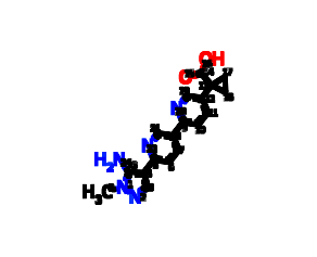 Cn1ncc(-c2ccc(-c3ccc(C4(C(=O)O)CC4)cn3)cn2)c1N